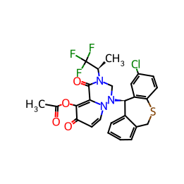 CC(=O)Oc1c2n(ccc1=O)N([C@@H]1c3ccccc3CSc3ccc(Cl)cc31)CN([C@H](C)C(F)(F)F)C2=O